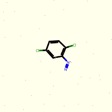 [N-]=[N+]c1cc(Cl)ccc1Cl